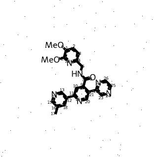 COc1ccc(CNC(=O)c2cc(-c3cncc(C)c3)ncc2-c2cnccn2)nc1OC